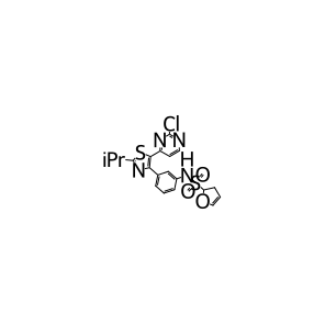 CC(C)c1nc(-c2cccc(NS(=O)(=O)C3CC=CO3)c2)c(-c2ccnc(Cl)n2)s1